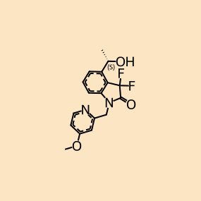 COc1ccnc(CN2C(=O)C(F)(F)c3c([C@H](C)O)cccc32)c1